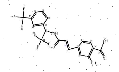 Cc1cc(/C=C/C(=O)NC(c2cccc(C(F)(F)F)c2)C(F)(F)F)ccc1C(=O)O